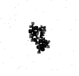 [C-]#[N+][C@@H]1CCCN1C(=O)CN(C(=O)OCC)C1(C)CCN(C[C@H]2O[C@@H]3OC(C)(C)O[C@@H]3[C@H]2OC(C)=O)CC1